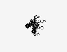 CC(C)(C)CC[C@H](NC(=O)[C@H](Cc1ccccn1)NC(=O)[C@H](Cc1ccc(O)cc1)N(C=O)[C@H]1CCCN1)C(=O)O